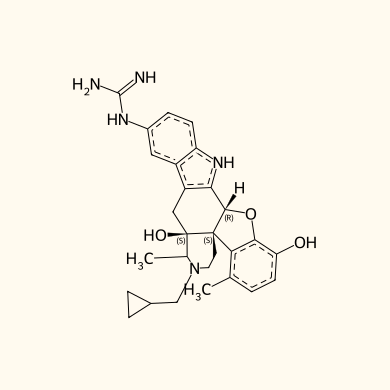 Cc1ccc(O)c2c1[C@]13CCN(CC4CC4)C(C)[C@]1(O)Cc1c([nH]c4ccc(NC(=N)N)cc14)[C@@H]3O2